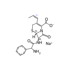 C/C=C\C1=C(C(=O)[O-])N2C(=O)[C@@H](NC(=O)C(N)c3ccccc3)[C@@H]2SC1.[Na+]